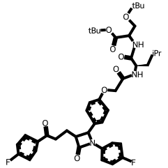 CC(C)C[C@@H](NC(=O)COc1ccc(C2C(CCC(=O)c3ccc(F)cc3)C(=O)N2c2ccc(F)cc2)cc1)C(=O)NC(COC(C)(C)C)C(=O)OC(C)(C)C